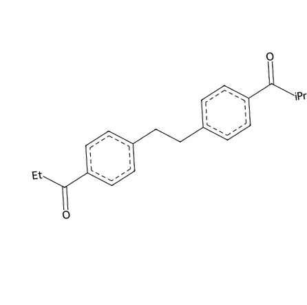 CCC(=O)c1ccc(CCc2ccc(C(=O)C(C)C)cc2)cc1